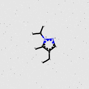 CCc1cnn(C(C)C)c1C